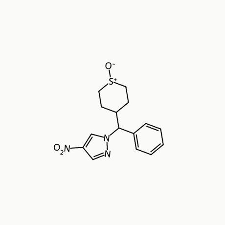 O=[N+]([O-])c1cnn(C(c2ccccc2)C2CC[S+]([O-])CC2)c1